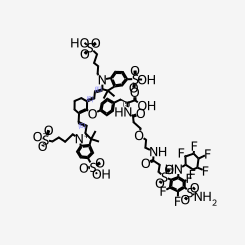 CC1(C)C(/C=C/C2=C(Oc3ccc(C[C@H](NC(=O)CCOCCNC(=O)CCS(=O)(=O)c4c(F)c(F)c(S(N)(=O)=O)c(F)c4NC4C(F)C(F)C(F)C(F)C4F)C(=O)O)cc3)C(=C/C=C3/N(CCCCS(=O)(=O)O)c4ccc(S(=O)(=O)O)cc4C3(C)C)/CCC2)=[N+](CCCCS(=O)(=O)[O-])c2ccc(S(=O)(=O)O)cc21